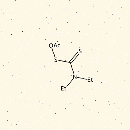 CCN(CC)C(=S)SOC(C)=O